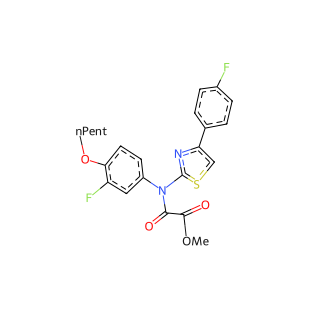 CCCCCOc1ccc(N(C(=O)C(=O)OC)c2nc(-c3ccc(F)cc3)cs2)cc1F